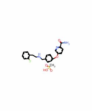 CS(=O)(=O)O.NC(=O)c1ccc(Oc2ccc(CNCCc3ccccc3F)cc2)cn1